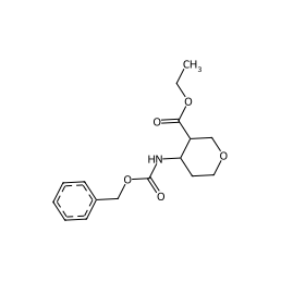 CCOC(=O)C1COCCC1NC(=O)OCc1ccccc1